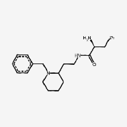 CC(C)C[C@H](N)C(=O)NCCC1CCCCN1Cc1ccccc1